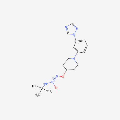 CC(C)(C)N/[N+]([O-])=N/OC1CCN(c2cccc(-n3cncn3)c2)CC1